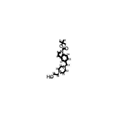 CC(C)(C)OC(=O)n1ccc2cc(CN3CCN(CCO)CC3)ccc21